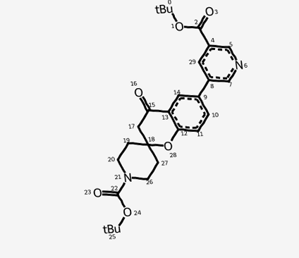 CC(C)(C)OC(=O)c1cncc(-c2ccc3c(c2)C(=O)CC2(CCN(C(=O)OC(C)(C)C)CC2)O3)c1